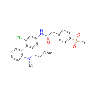 CCN(CCOC)c1ccccc1-c1ccc(NC(=O)Cc2ccc(S(=O)(=O)CC)cc2)cc1Cl